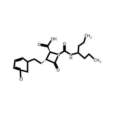 CCCC(CCC)NC(=O)N1C(=O)[C@H](CCC2C=CC=C(Cl)C2)[C@H]1C(=O)O